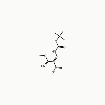 COC(=N)/C(=C\NC(=O)OC(C)(C)C)[N+](=O)[O-]